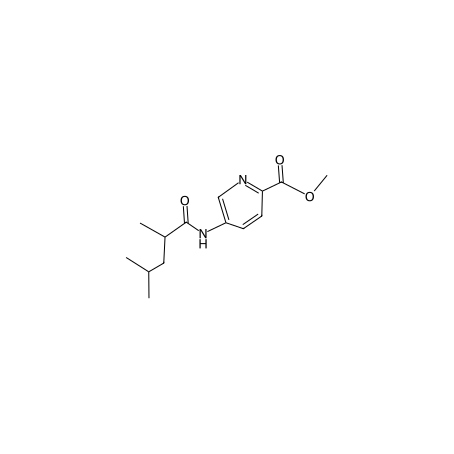 COC(=O)c1ccc(NC(=O)C(C)CC(C)C)cn1